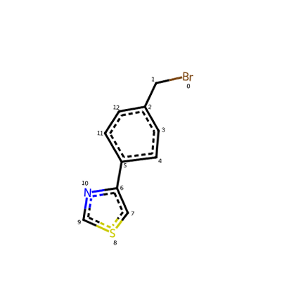 BrCc1ccc(-c2cscn2)cc1